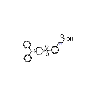 O=C(O)/C=C/c1cccc(S(=O)(=O)N2CCN(C(c3ccccc3)c3ccccc3)CC2)c1